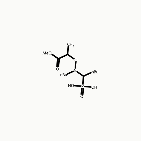 CCCCC(N(CCCC)OC(C)C(=O)OC)P(=O)(O)O